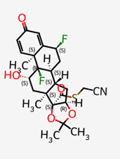 CC1(C)O[C@@H]2C[C@H]3[C@@H]4C[C@H](F)C5=CC(=O)C=C[C@]5(C)[C@@]4(F)[C@@H](O)C[C@]3(C)[C@]2(C(=O)SCC#N)O1